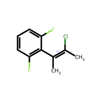 C/C(Cl)=C(\C)c1c(F)cccc1F